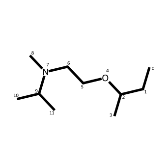 CCC(C)OCCN(C)C(C)C